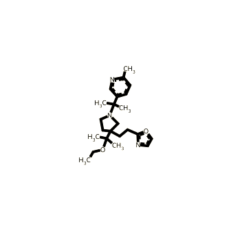 CCOC(C)(C)C1(CCc2ncco2)CCN(C(C)(C)c2ccc(C)nc2)C1